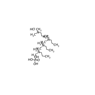 CCCN(C)C.CCCN(C)C.CCCN(C)C.CCCN(C)C.Cl.O=P(O)(O)O